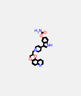 NC(=O)Oc1ccc2[nH]cc(C3=CCN(CC4COc5ccc6ncccc6c5O4)CC3)c2c1